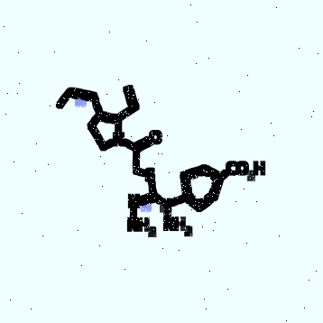 C=CC1=C(/C=C\C)CCN1C(=O)CS/C(=N/N)N(N)c1ccc(C(=O)O)cc1